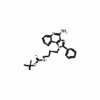 CC(C)(C)OC(=O)NCCCCn1c(-c2ccccc2)nc2c(N)nc3ccccc3c21